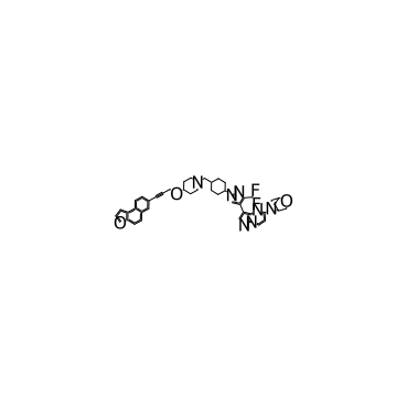 FC(F)c1nn(C2CCC(CN3CCC(OCC#Cc4ccc5c(ccc6occc65)c4)CC3)CC2)cc1-c1cnn2ccc(N3CC4CC3CO4)nc12